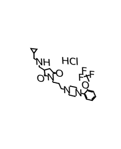 Cl.O=C1CC(CNCC2CC2)C(=O)N1CCCN1CCN(c2ccccc2OCC(F)(F)F)CC1